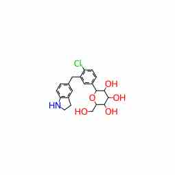 OCC1OC(c2ccc(Cl)c(Cc3ccc4c(c3)CCN4)c2)C(O)C(O)C1O